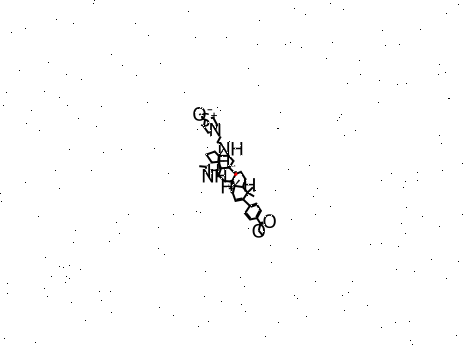 COC(=O)c1ccc(C2=CC[C@]3(C)[C@H]4CC[C@@H]5[C@H]6[C@H](C(C)N)CC[C@]6(NCCN6CC[S+]([O-])CC6)CC[C@@]5(C)[C@]4(C)CC[C@H]3C2(C)C)cc1